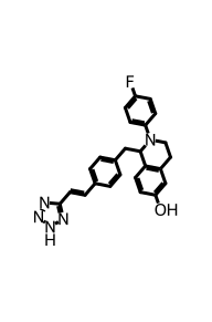 Oc1ccc2c(c1)CCN(c1ccc(F)cc1)C2Cc1ccc(C=Cc2nn[nH]n2)cc1